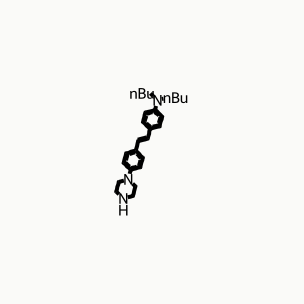 CCCCN(CCCC)c1ccc(/C=C/c2ccc(N3CCNCC3)cc2)cc1